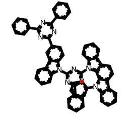 c1ccc(-c2nc(-c3ccccc3)nc(-c3ccc4c(c3)c3ccccc3n4-c3nc(-c4ccccc4)nc(-n4c5ccccc5c5ccc6c7ccccc7n(-c7ccccc7)c6c54)n3)n2)cc1